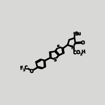 CC(C)(C)C1CC(c2cc3sc(-c4ccc(OC(F)(F)F)cc4)cc3s2)N(C(=O)O)C1=O